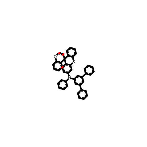 c1ccc(-c2cc(-c3ccccc3)cc(N(c3ccccc3)c3ccc4c(c3)Sc3ccccc3C43c4ccccc4Oc4ccccc43)c2)cc1